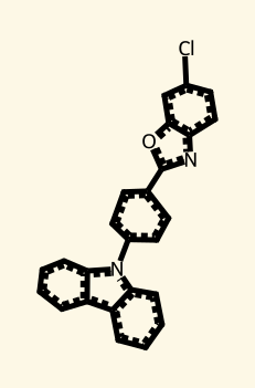 Clc1ccc2nc(-c3ccc(-n4c5ccccc5c5ccccc54)cc3)oc2c1